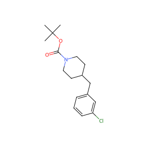 CC(C)(C)OC(=O)N1CCC(Cc2cccc(Cl)c2)CC1